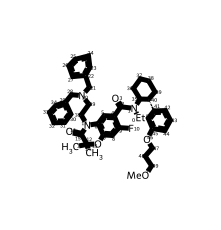 CCN(C(=O)c1cc2c(cc1F)OC(C)(C)C(=O)N2CCN(Cc1ccccc1)Cc1ccccc1)C1CCCC[C@@H]1c1cccc(OCCCOC)c1